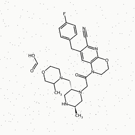 CC1COCCN1C[C@H]1CN[C@H](C)CN1CC(=O)N1CCOc2nc(C#N)c(Cc3ccc(F)cc3)cc21.O=CO